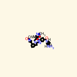 COC(=O)N1CC(c2cccc3cc(-c4nc5cc(C(=O)N6C[C@H]7CC[C@@H]6C[C@@H]7N)cc(OC)c5n4Cc4cnn(C)c4)n(CC4CC4)c23)C1